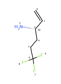 C=C[C@@H](N)CCC(F)(F)F